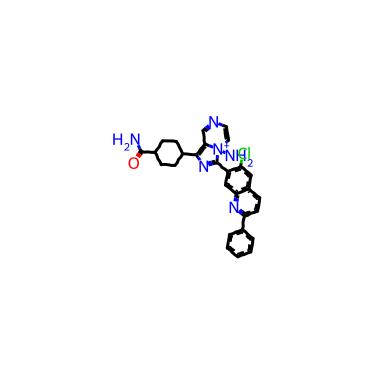 NC(=O)C1CCC(C2=C3C=NC=C[N+]3(N)C(c3cc4nc(-c5ccccc5)ccc4cc3Cl)=N2)CC1